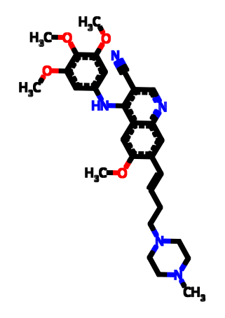 COc1cc2c(Nc3cc(OC)c(OC)c(OC)c3)c(C#N)cnc2cc1/C=C/CCN1CCN(C)CC1